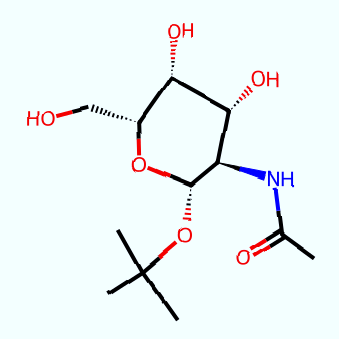 CC(=O)N[C@H]1[C@H](OC(C)(C)C)O[C@H](CO)[C@H](O)[C@@H]1O